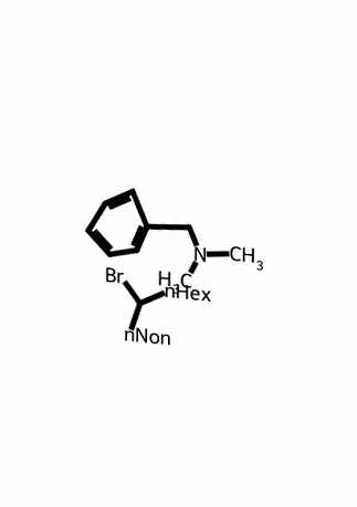 CCCCCCCCCC(Br)CCCCCC.CN(C)Cc1ccccc1